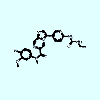 CCNC(=O)Nc1ccc(-c2cnc3cnc(C(=O)N(C)c4ccc(F)c(OC)c4)cn23)cn1